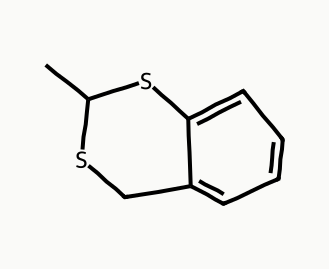 CC1SCc2ccccc2S1